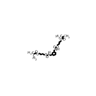 C=C(C)C(=O)OCCCCOC(=O)NCC1CCCC(CNC(=O)OCCCCOC(=O)C(=C)C)C1